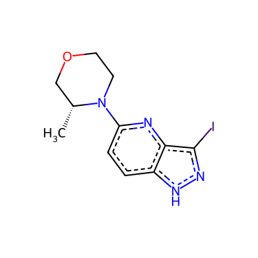 C[C@@H]1COCCN1c1ccc2[nH]nc(I)c2n1